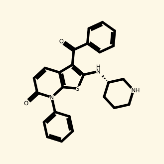 O=C(c1ccccc1)c1c(N[C@H]2CCCNC2)sc2c1ccc(=O)n2-c1ccccc1